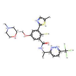 Cc1cnc(-c2cc(OC[C@H]3CN(C)CCO3)cc(C(=O)NC(C)c3ccc(C(F)(F)F)nn3)c2F)s1